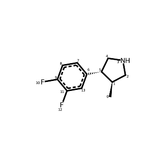 C[C@@H]1CNC[C@H]1c1ccc(F)c(F)c1